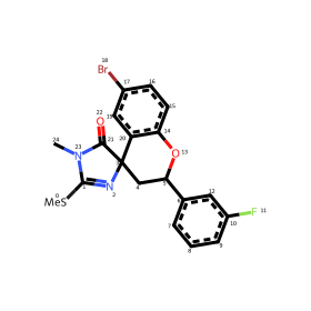 CSC1=NC2(CC(c3cccc(F)c3)Oc3ccc(Br)cc32)C(=O)N1C